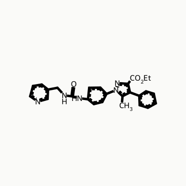 CCOC(=O)c1nn(-c2ccc(NC(=O)NCc3cccnc3)cc2)c(C)c1-c1ccccc1